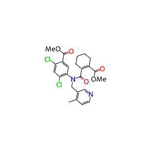 COC(=O)C1=C(C(=O)N(Cc2cnccc2C)c2cc(C(=O)OC)c(Cl)cc2Cl)CCCC1